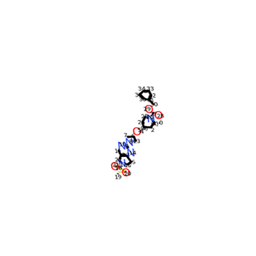 C[C@@H]1C[C@H](COC2CN(c3ncc4c(n3)CCN(S(C)(=O)=O)C4)C2)CCN1C(=O)OCc1ccccc1